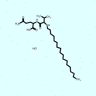 CCCCCCCCCCCCCCCCCCNC(C(=O)NC(CCC(N)=O)C(=O)O)C(C)C.Cl